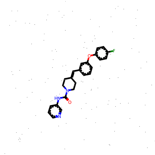 O=C(Nc1cccnc1)N1CCC(=Cc2cccc(Oc3ccc(F)cc3)c2)CC1